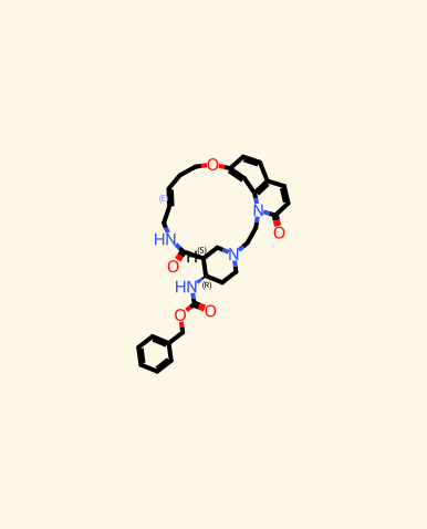 O=C(N[C@@H]1CCN2CCn3c(=O)ccc4ccc(cc43)OCC/C=C/CNC(=O)[C@H]1C2)OCc1ccccc1